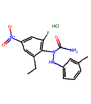 CCc1cc([N+](=O)[O-])cc(F)c1N(Nc1cccc(C)c1)C(N)=O.Cl